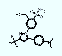 CN(C)c1ccc(-c2cc(C(F)(F)F)nn2-c2ccc(S(N)(=O)=O)c(CO)c2)cc1